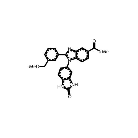 CNC(=O)c1ccc2c(c1)nc(-c1cccc(COC)c1)n2-c1ccc2[nH]c(=O)[nH]c2c1